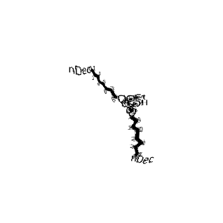 CCCCCCCCCCCCCCCCCCOO[Si](O)(OCC)OOCCCCCCCCCCCCCCCCCC